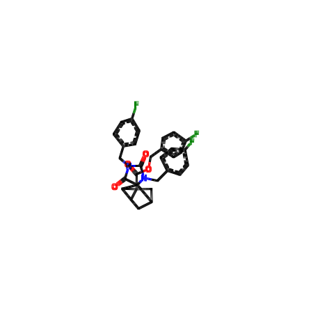 O=C1N(Cc2ccc(F)cc2)C(=O)C2(C3CC4C2C4(C(=O)OCc2ccc(F)cc2)C3)N1Cc1ccc(F)cc1